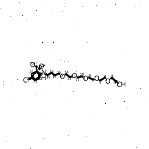 C#CCOCCOCCOCCOCCOCCCCNc1ccc(Cl)cc1[N+](=O)[O-]